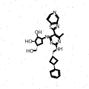 Cc1nc(NC[C@H]2C[C@H](c3ccccc3)C2)nc(NC2C[C@H](CO)[C@@H](O)[C@H]2O)c1-c1nc2cnccc2s1